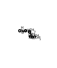 Cc1cc(Nc2ncnc3cnc(N(C)C)cc23)ccc1Oc1ccc(C(=O)NC2CCCCC2)cc1